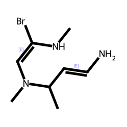 CN/C(Br)=C\N(C)C(C)/C=C/N